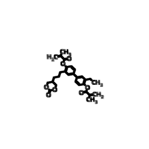 C=C(C)C(=O)Oc1ccc(-c2ccc(OC(=O)C(=C)C)c(CCCC3COC(=O)OC3)c2)cc1CC